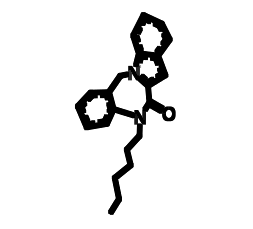 CCCCCCN1C(=O)c2cc3ccccc3n2Cc2ccccc21